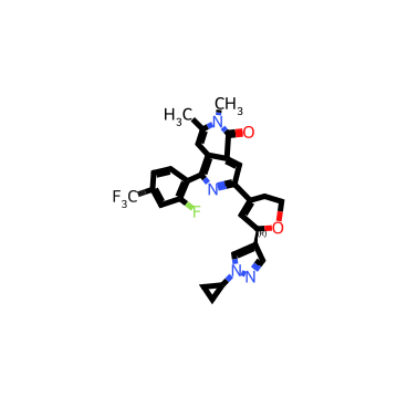 Cc1cc2c(-c3ccc(C(F)(F)F)cc3F)nc(C3=C[C@H](c4cnn(C5CC5)c4)OCC3)cc2c(=O)n1C